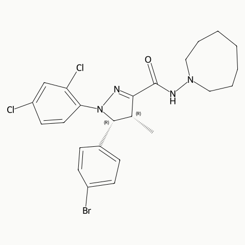 C[C@H]1C(C(=O)NN2CCCCCCC2)=NN(c2ccc(Cl)cc2Cl)[C@H]1c1ccc(Br)cc1